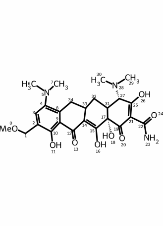 COCc1cc(N(C)C)c2c(c1O)C(=O)C1=C(O)[C@]3(O)C(=O)C(C(N)=O)=C(O)[C@@H](N(C)C)C3CC1C2